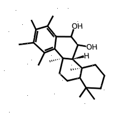 Cc1c(C)c(C)c2c(c1C)C(O)C(O)[C@H]1[C@@]2(C)CCC2C(C)(C)CCC[C@@]21C